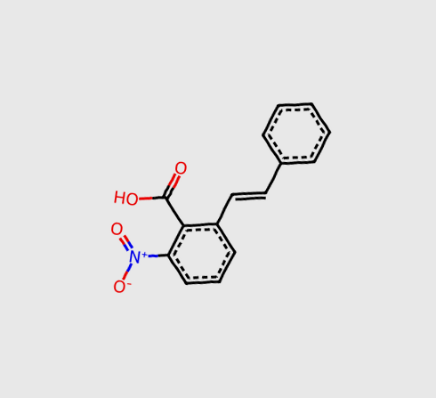 O=C(O)c1c(C=Cc2ccccc2)cccc1[N+](=O)[O-]